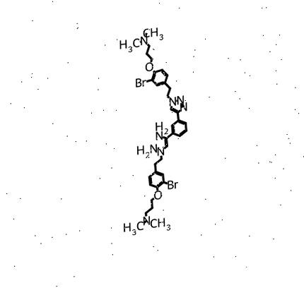 CN(C)CCCOc1ccc(CCN(N)/C=C(\N)c2cccc(-c3cn(CCc4ccc(OCCCN(C)C)c(Br)c4)nn3)c2)cc1Br